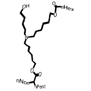 CCCCCCCCCC(CCCCC)C(=O)OCCCCCCN(CCCCCO)CCCCCCOC(=O)CCCCCC